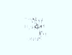 CC(=O)O[C@@H]([C@H]1C[C@@H](C)[C@H]2[C@H](O1)[C@H](O)[C@@]1(C)[C@@H]3CC[C@H]4C(C)(C)[C@@H](O[C@H]5CN(C6CN(C7COC7)C6)CCO5)CC[C@@]45C[C@@]35CC[C@]21C)C(C)(C)O